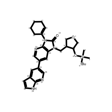 CC(C)(C)[Si](C)(C)OC1COCC1Cn1c(=O)n(C2=CCCCC2)c2ncc(-c3cnc4[nH]ccc4c3)cc21